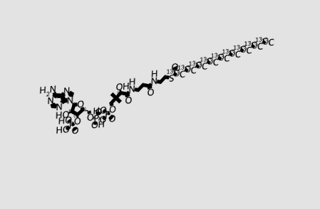 CC(C)(COP(=O)(O)OP(=O)(O)OC[C@H]1O[C@@H](n2cnc3c(N)ncnc32)[C@H](O)[C@@H]1OP(=O)(O)O)[C@@H](O)C(=O)NCCC(=O)NCCS[13C](=O)[13CH2][13CH2][13CH2][13CH2][13CH2][13CH2][13CH2][13CH2][13CH2][13CH2][13CH2][13CH2][13CH2][13CH2][13CH2][13CH2][13CH3]